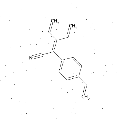 C=CC(C=C)=C(C#N)c1ccc(C=C)cc1